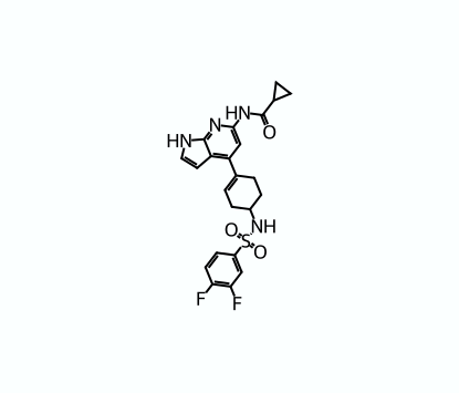 O=C(Nc1cc(C2=CCC(NS(=O)(=O)c3ccc(F)c(F)c3)CC2)c2cc[nH]c2n1)C1CC1